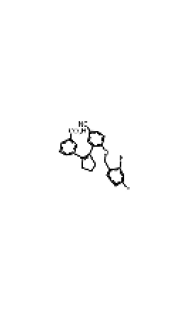 N#Cc1ccc(OCc2ccc(F)cc2F)c(C2=C(c3cccc(C(=O)O)c3)CCC2)c1